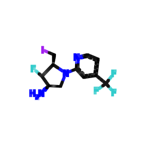 N[C@@H]1CN(c2cc(C(F)(F)F)ccn2)[C@H](CI)C1F